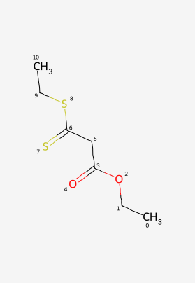 CCOC(=O)CC(=S)SCC